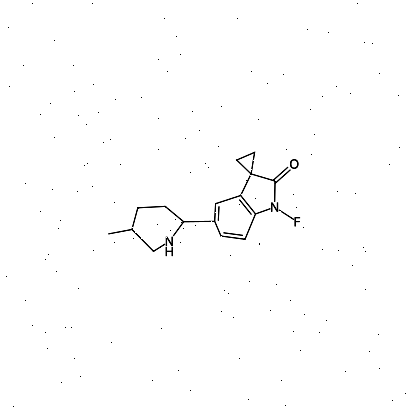 CC1CCC(c2ccc3c(c2)C2(CC2)C(=O)N3F)NC1